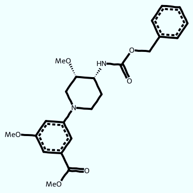 COC(=O)c1cc(OC)cc(N2CC[C@@H](NC(=O)OCc3ccccc3)[C@@H](OC)C2)c1